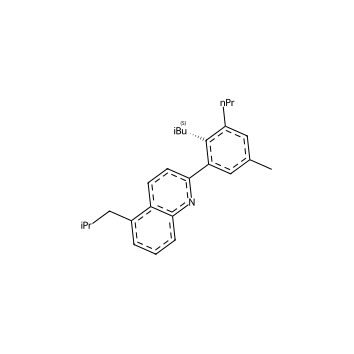 CCCc1cc(C)cc(-c2ccc3c(CC(C)C)cccc3n2)c1[C@@H](C)CC